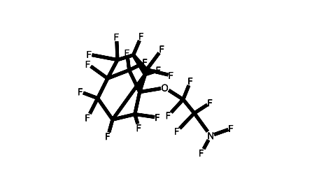 FN(F)C(F)(F)C(F)(F)OC12C(F)(F)C3(F)C(F)(F)C(F)(C(F)(F)C(F)(C3(F)F)C1(F)F)C2(F)F